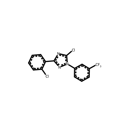 FC(F)(F)c1cccc(-n2nc(-c3ccccc3Cl)nc2Cl)c1